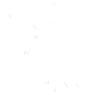 CC(=O)OCC(=O)N(n1c(=O)[nH]c2cc(C(F)(F)F)c(-c3ccnn3C(C)C)cc2c1=O)S(C)(=O)=O